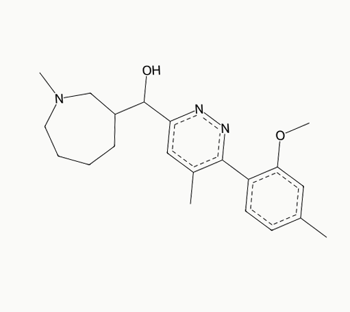 COc1cc(C)ccc1-c1nnc(C(O)C2CCCCN(C)C2)cc1C